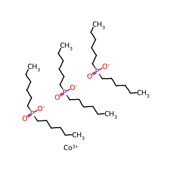 CCCCCCP(=O)([O-])CCCCCC.CCCCCCP(=O)([O-])CCCCCC.CCCCCCP(=O)([O-])CCCCCC.[Co+3]